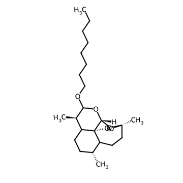 CCCCCCCCOC1O[C@@H]2O[C@]3(C)CCC4[C@H](C)CCC([C@H]1C)[C@]42OO3